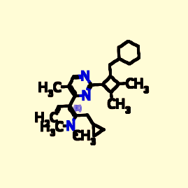 C=C/C(=C(/CC1CC1)N(C)C)c1nc(C2C(C)C(C)C2CC2CCCCC2)ncc1C